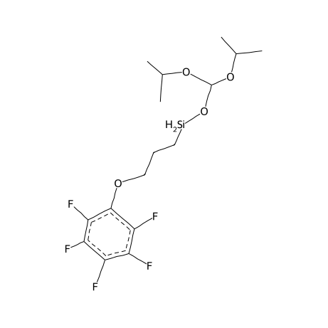 CC(C)OC(O[SiH2]CCCOc1c(F)c(F)c(F)c(F)c1F)OC(C)C